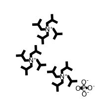 CC(C)C[N+](CC(C)C)(CC(C)C)CC(C)C.CC(C)C[N+](CC(C)C)(CC(C)C)CC(C)C.CC(C)C[N+](CC(C)C)(CC(C)C)CC(C)C.O=P([O-])([O-])[O-]